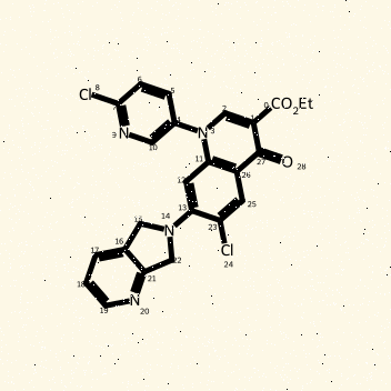 CCOC(=O)c1cn(-c2ccc(Cl)nc2)c2cc(N3Cc4cccnc4C3)c(Cl)cc2c1=O